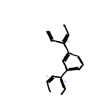 C=C/C(=C\C)c1cccc(C(/C=C\C)=C/C)c1